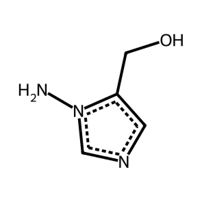 Nn1cncc1CO